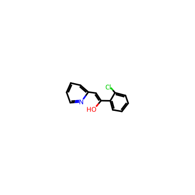 OC(=Cc1ccccn1)c1ccccc1Cl